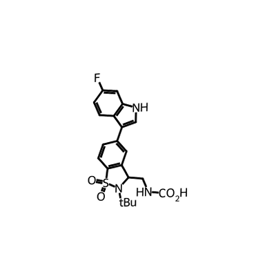 CC(C)(C)N1C(CNC(=O)O)c2cc(-c3c[nH]c4cc(F)ccc34)ccc2S1(=O)=O